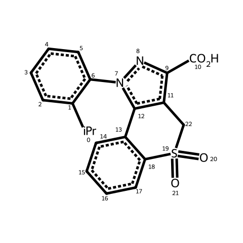 CC(C)c1ccccc1-n1nc(C(=O)O)c2c1-c1ccccc1S(=O)(=O)C2